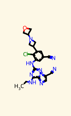 CCNc1nc(Nc2cc(C#N)cc(C3CN(C4COC4)C3)c2Cl)nn2c(C#N)cnc12